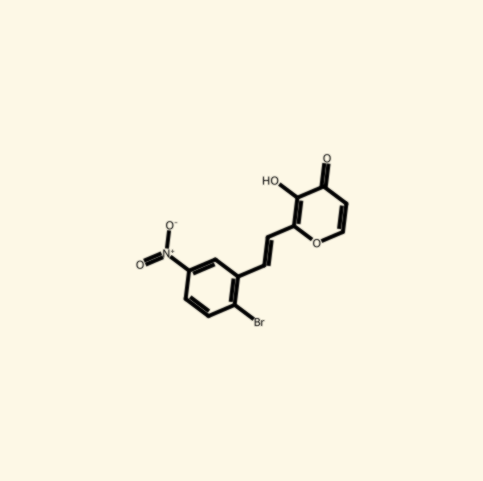 O=c1ccoc(/C=C/c2cc([N+](=O)[O-])ccc2Br)c1O